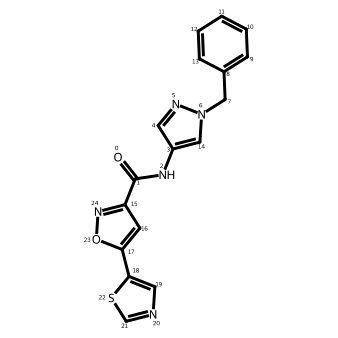 O=C(Nc1cnn(Cc2ccccc2)c1)c1cc(-c2cncs2)on1